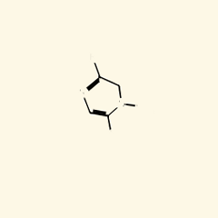 CC1=CN=C(F)CN1C